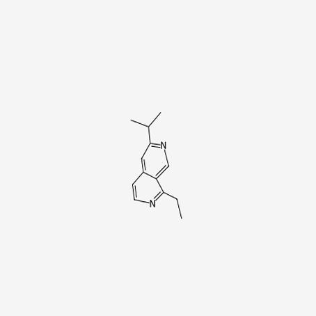 CCc1nccc2cc(C(C)C)ncc12